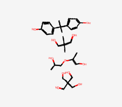 CC(C)(CO)CO.CC(C)(c1ccc(O)cc1)c1ccc(O)cc1.CC(O)COC(C)CO.OCC(CO)(CO)CO